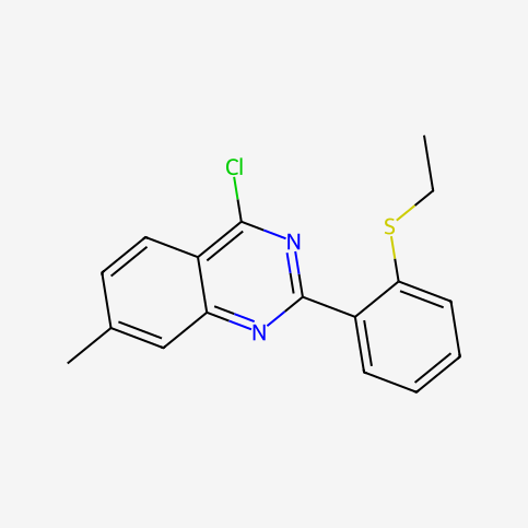 CCSc1ccccc1-c1nc(Cl)c2ccc(C)cc2n1